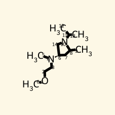 COCCN(C)[C@H]1CC(C)N(C(C)C)C1